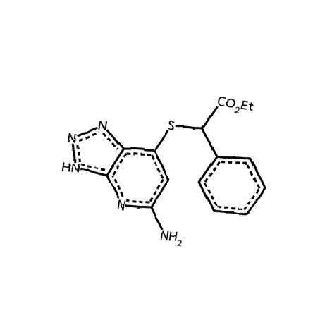 CCOC(=O)C(Sc1cc(N)nc2[nH]nnc12)c1ccccc1